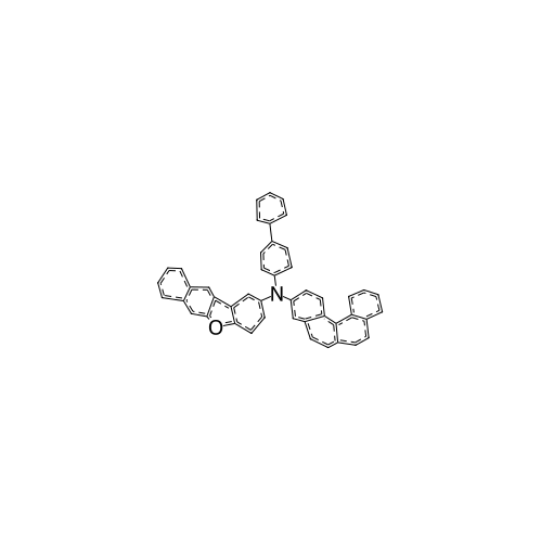 c1ccc(-c2ccc(N(c3ccc4c(ccc5ccc6ccccc6c54)c3)c3ccc4oc5cc6ccccc6cc5c4c3)cc2)cc1